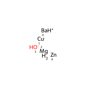 [BaH+].[Cu].[MgH2].[OH-].[Zn]